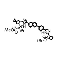 COC(=O)N[C@H](C(=O)N1CC2(CC2)C[C@H]1c1ncc(-c2ccc3cc(-c4ccc(C5CN=C(C6C7CCC(C7)N6C(=O)OC(C)(C)C)N5)cc4)ccc3c2)[nH]1)C(C)C